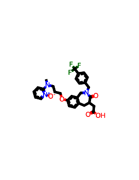 CN(CCCOc1ccc2c(c1)CN(Cc1ccc(C(F)(F)F)cc1)C(=O)C(CC(=O)O)C2)c1cccc[n+]1[O-]